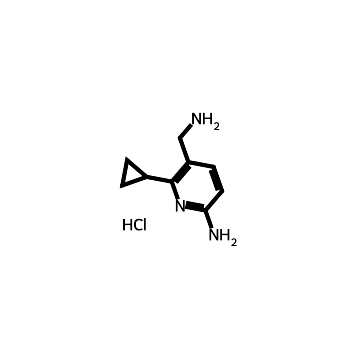 Cl.NCc1ccc(N)nc1C1CC1